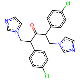 O=C(C(Cn1ccnc1)c1ccc(Cl)cc1)C(Cn1ccnc1)c1ccc(Cl)cc1